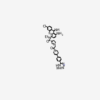 CCN(C(=O)[C@@H]1CCN(CC(=O)N2CC=C(c3ccc(C(=N)/N=C\NC)cc3)CC2)C1)c1ccc(N)c(C(=N)c2ccc(Cl)cc2F)n1